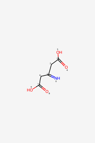 N=C(CC(=O)O)CC(=O)O